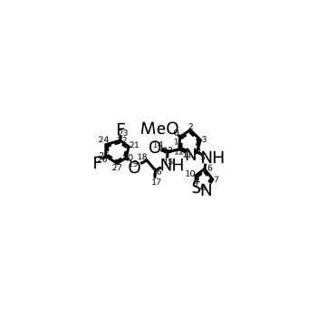 COc1ccc(Nc2cnsc2)nc1C(=O)NC(C)COc1cc(F)cc(F)c1